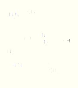 C=C\C(N)=C/C=C1\C(=C)\C1=C\C(=C/C)N=N/C(C)=C/C=C(\C)N